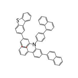 c1ccc(-c2ccc(-c3ccc4ccccc4c3)cc2N(c2ccc(-c3cccc4ccccc34)cc2)c2cccc(-c3ccc4sc5ccccc5c4c3)c2)cc1